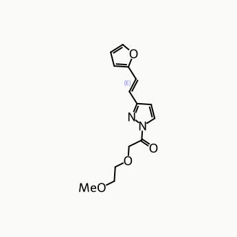 COCCOCC(=O)n1ccc(/C=C/c2ccco2)n1